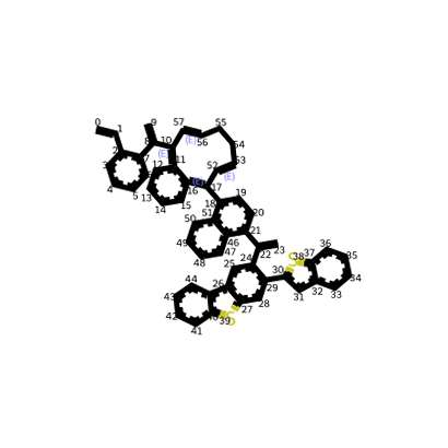 C=Cc1ccccc1C(=C)C1=c2\cccc\c2=C(c2ccc(C(=C)c3cc4c(cc3-c3cc5ccccc5s3)sc3ccccc34)c3ccccc23)\C=C\CC\C=C\1